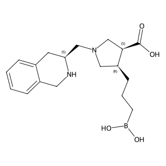 O=C(O)[C@@H]1CN(C[C@@H]2Cc3ccccc3CN2)C[C@@H]1CCCB(O)O